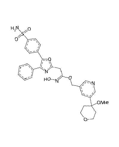 COC1(c2cncc(COC(Cc3nc(-c4ccccc4)c(-c4ccc(S(N)(=O)=O)cc4)o3)=NO)c2)CCOCC1